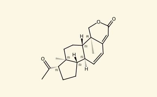 CC(=O)[C@H]1CC[C@H]2[C@@H]3C=CC4=CC(=O)OC[C@]4(C)[C@H]3CC[C@]12C